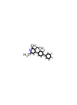 CCc1c(-c2ccc(-c3ccccc3)cc2)cc(C)nc1C